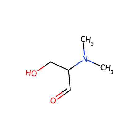 CN(C)C(C=O)CO